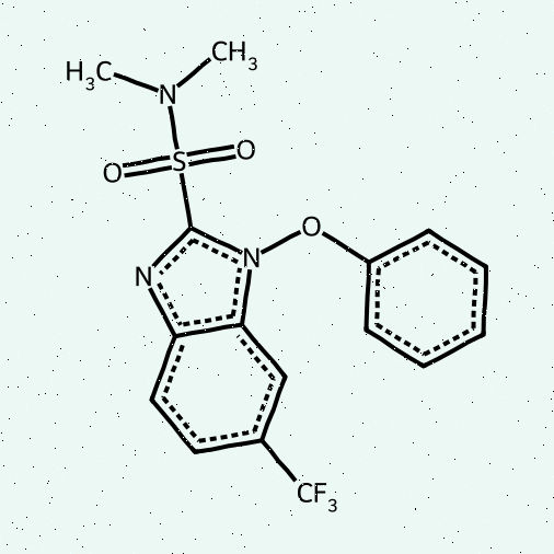 CN(C)S(=O)(=O)c1nc2ccc(C(F)(F)F)cc2n1Oc1ccccc1